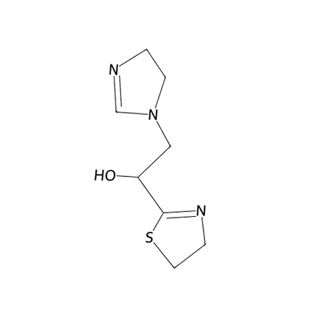 OC(CN1C=NCC1)C1=NCCS1